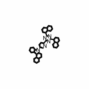 c1ccc2c(-c3nc(-c4ccc(-n5c6ccccc6c6c7ccccc7ccc65)cn4)nc(-c4cccc5ccccc45)n3)cccc2c1